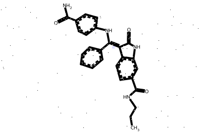 CCCNC(=O)c1ccc2c(c1)NC(=O)/C2=C(\Nc1ccc(C(N)=O)cc1)c1ccccc1